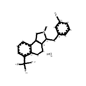 CN1CC2c3cccc(C(F)(F)F)c3CCC2C1Cc1cccc(F)c1.Cl